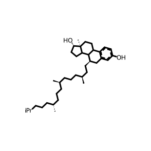 CC(C)CCC[C@@H](C)CCC[C@@H](C)CCC[C@H](C)CC[C@@H]1Cc2cc(O)ccc2C2CC[C@@]3(C)C(CC[C@@H]3O)C21